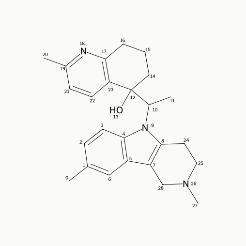 Cc1ccc2c(c1)c1c(n2C(C)C2(O)CCCc3nc(C)ccc32)CCN(C)C1